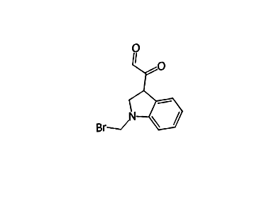 O=CC(=O)C1CN(CBr)c2ccccc21